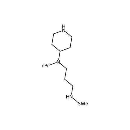 CCCN(CCCNSC)C1CCNCC1